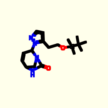 CC(C)(C)[Si](C)(C)OCCc1ccnn1C1C=CC2CN1C(=O)N2